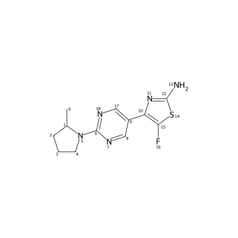 CC1CCCN1c1ncc(-c2nc(N)sc2F)cn1